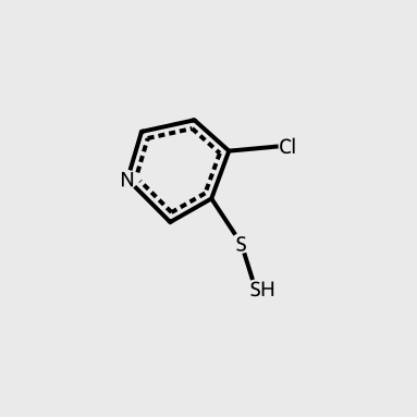 SSc1cnccc1Cl